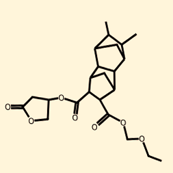 CCOCOC(=O)C1C2CC(C1C(=O)OC1COC(=O)C1)C1C3CC(C(C)C3C)C21